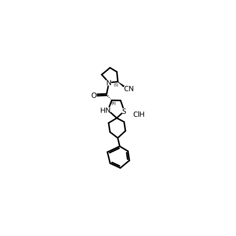 Cl.N#C[C@@H]1CCCN1C(=O)[C@@H]1CSC2(CCC(c3ccccc3)CC2)N1